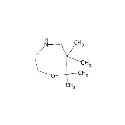 CC1(C)CNCCOC1(C)C